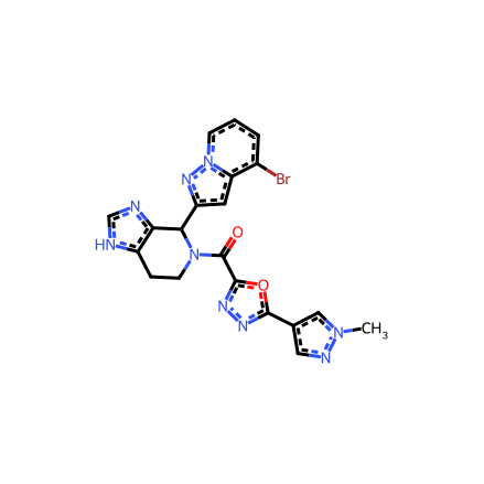 Cn1cc(-c2nnc(C(=O)N3CCc4[nH]cnc4C3c3cc4c(Br)cccn4n3)o2)cn1